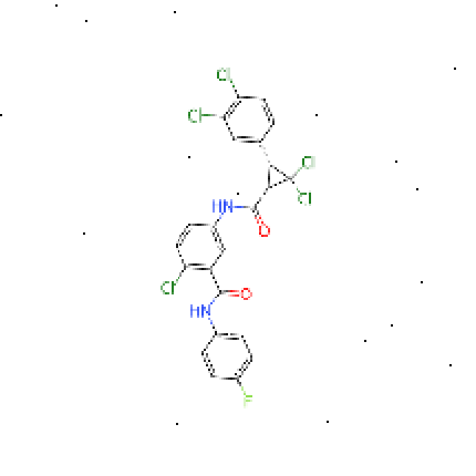 O=C(Nc1ccc(F)cc1)c1cc(NC(=O)C2[C@H](c3ccc(Cl)c(Cl)c3)C2(Cl)Cl)ccc1Cl